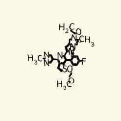 C=CC(=O)N1Cc2cc(-c3nc(-c4cnc(C)nc4)c4ccsc4c3-c3c(F)cc(F)cc3OCCOC)nn2C[C@H]1C